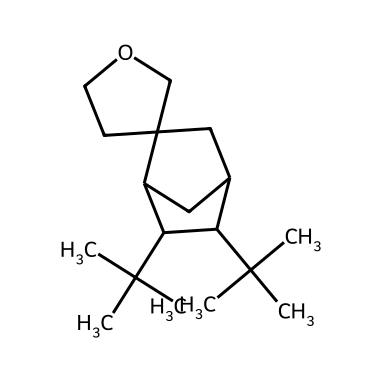 CC(C)(C)C1C2CC(C1C(C)(C)C)C1(CCOC1)C2